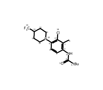 Cc1c(NC(=O)C(C)(C)C)ccc(N2CCC(C(F)(F)F)CC2)c1Cl